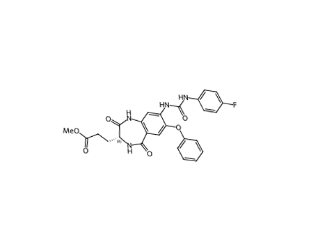 COC(=O)CC[C@H]1NC(=O)c2cc(Oc3ccccc3)c(NC(=O)Nc3ccc(F)cc3)cc2NC1=O